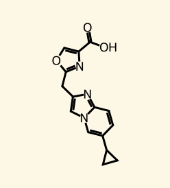 O=C(O)c1coc(Cc2cn3cc(C4CC4)ccc3n2)n1